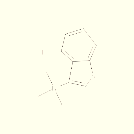 C[N+](C)(C)c1csc2ccccc12.[I-]